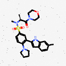 Cc1ccc2cc(-c3cc(S(=O)(=O)N(C)[C@@H](C)C(=O)N4CCOCC4)ccc3N3CCCC3)[nH]c2c1